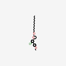 CCCCCCCCCCCCCCOC[C@H]1CCC[C@@H](c2ccc(Cl)c(-c3ccc(OCC)cc3)c2)O1